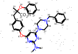 CN(C)c1nc(Oc2ccc(CC(C)(Oc3ccccc3)C(=O)O)cc2)cc(N2CCN(Cc3ccccc3)CC2)n1